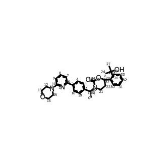 C[C@@H](c1ccc(-c2cccc(N3CCOCC3)n2)cc1)N1CC[C@](CC(C)(C)O)(c2ccccc2)OC1=O